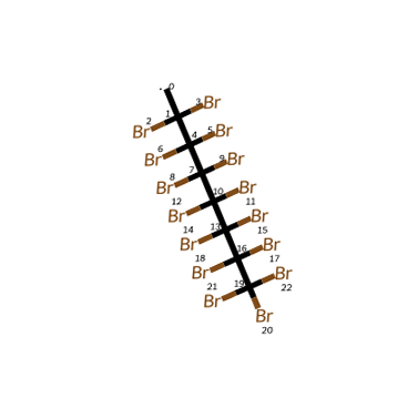 [CH2]C(Br)(Br)C(Br)(Br)C(Br)(Br)C(Br)(Br)C(Br)(Br)C(Br)(Br)C(Br)(Br)Br